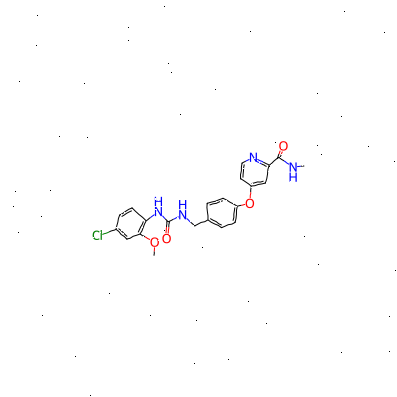 CNC(=O)c1cc(Oc2ccc(CNC(=O)Nc3ccc(Cl)cc3OC)cc2)ccn1